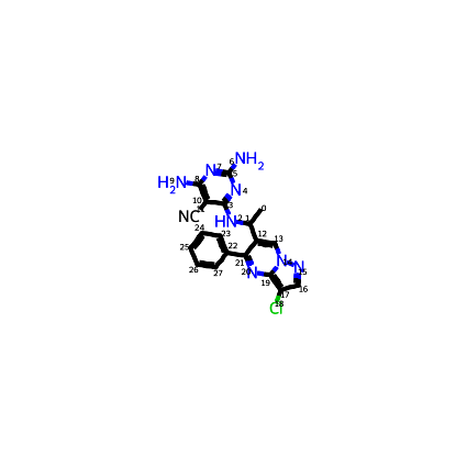 CC(Nc1nc(N)nc(N)c1C#N)c1cn2ncc(Cl)c2nc1-c1ccccc1